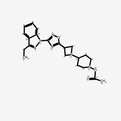 CCc1nn(-c2noc(C3CN(C4CCN(OC(C)=O)CC4)C3)n2)c2ccccc12